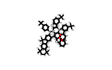 CC(C)(C)c1ccc(N2B3c4oc5ccc(C(C)(C)C)cc5c4N(c4ccc(C(C)(C)C)cc4-c4ccccc4)c4cc5c(oc6ccccc65)c(c43)-c3cc4c(cc32)C(C)(C)c2cc3c(cc2-4)C(C)(C)CCC3(C)C)cc1